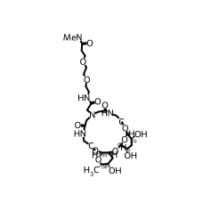 CNC(=O)CCOCCOCCNC(=O)CN1CC(=O)NCCO[C@@H]2O[C@@H](C)[C@@H](O)C[C@@H]2O[C@@H]2O[C@@H](OCCNC(=O)C1)[C@@H](O)C[C@@H]2O